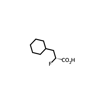 O=C(O)[C@H](F)CC1CCCCC1